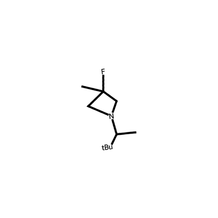 CC(N1CC(C)(F)C1)C(C)(C)C